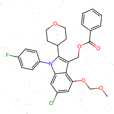 COCOc1cc(Cl)cc2c1c(COC(=O)c1ccccc1)c(C1CCOCC1)n2-c1ccc(F)cc1